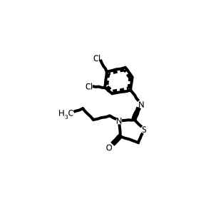 CCCCN1C(=O)CSC1=Nc1ccc(Cl)c(Cl)c1